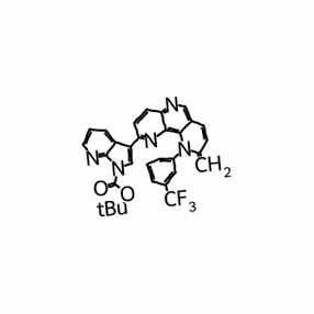 C=C1C=Cc2cnc3ccc(-c4cn(C(=O)OC(C)(C)C)c5ncccc45)nc3c2N1c1cccc(C(F)(F)F)c1